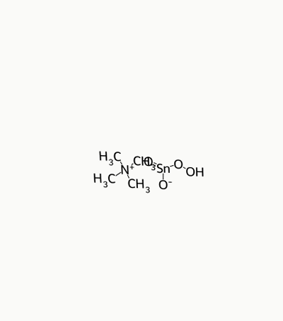 C[N+](C)(C)C.[O]=[Sn]([O-])[O]O